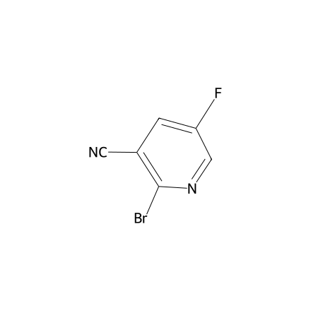 N#Cc1cc(F)cnc1Br